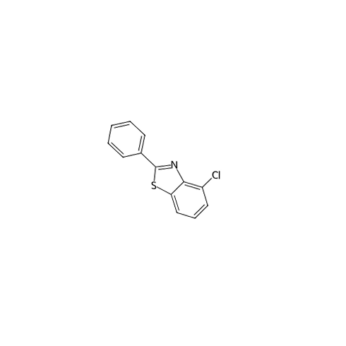 Clc1cccc2sc(-c3ccccc3)nc12